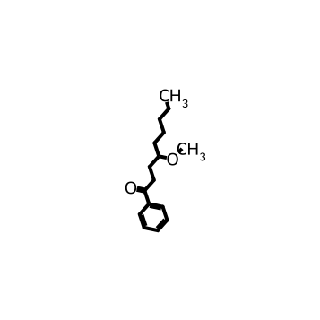 CCCCCC(CCC(=O)c1ccccc1)OC